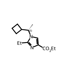 CCOC(=O)c1cn([C@@H](C)C2CCC2)c(CC)n1